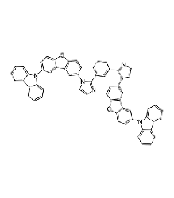 c1cc(-c2nccn2-c2ccc3oc4ccc(-n5c6ccccc6c6ccccc65)cc4c3c2)cc(-c2nccn2-c2ccc3oc4ccc(-n5c6ccccc6c6ccccc65)cc4c3c2)c1